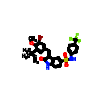 COc1c(Br)cc(C=C2C(=O)Nc3ccc(S(=O)(=O)Nc4ccc(C(F)(F)F)cc4)cc32)cc1C(C)(C)C